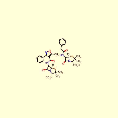 CC1(C)S[C@@H]2[C@H](NC(=O)Cc3ccccc3)C(=O)N2[C@H]1C(=O)O.Cc1onc(-c2ccccc2)c1C(=O)N[C@@H]1C(=O)N2[C@@H]1SC(C)(C)[C@@H]2C(=O)O